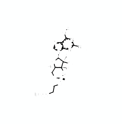 CCOC(=O)CCO[P@]1(=O)OC[C@H]2O[C@@H](n3cnc4c(OCC)nc(N)nc43)[C@](C)(F)[C@@H]2O1